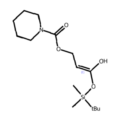 CC(C)(C)[Si](C)(C)O/C(O)=C/COC(=O)N1CCCCC1